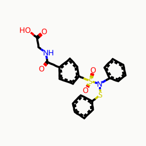 O=C(O)CNC(=O)c1ccc(S(=O)(=O)N(Sc2ccccc2)c2ccccc2)cc1